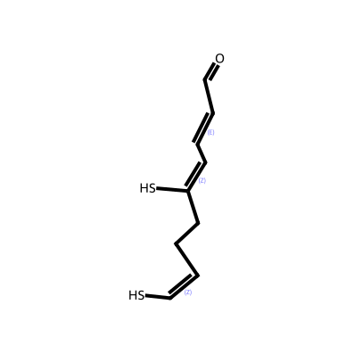 O=C/C=C/C=C(\S)CC/C=C\S